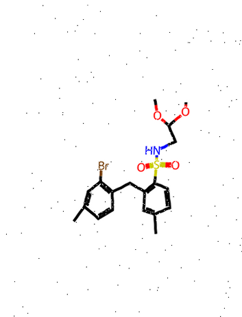 COC(CNS(=O)(=O)c1ccc(C)cc1Cc1ccc(C)cc1Br)OC